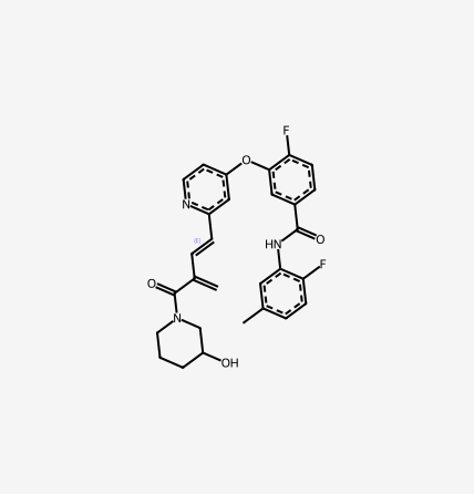 C=C(/C=C/c1cc(Oc2cc(C(=O)Nc3cc(C)ccc3F)ccc2F)ccn1)C(=O)N1CCCC(O)C1